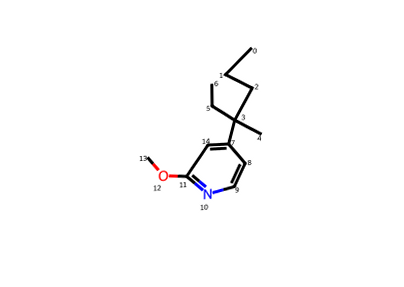 CCCC(C)(CC)c1ccnc(OC)c1